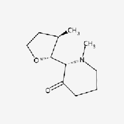 C[C@@H]1CCO[C@H]1[C@H]1C(=O)CCCN1C